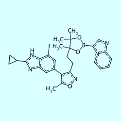 Cc1onc(CCC2(C)OB(c3cnc4ccccn34)OC2(C)C)c1-c1cc(I)c2[nH]c(C3CC3)nc2c1